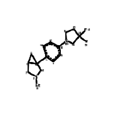 CCN1CC2CC2(c2ccc(N3CCC(F)(F)C3)cc2)C1